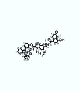 COc1cc(NC(=O)COc2cccc([C@H](c3ccccc3)N(C(=O)O)[C@H]3CN4CCC3CC4)c2)c(Cl)cc1CNC[C@H](O)c1ccc(O)c2[nH]c(=O)ccc12